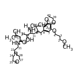 COCCCOc1cc(C[C@@H](C[C@H](N)[C@@H](O)C[C@H](C(=O)NCCN2CCOCC2)C(C)C)C(C)C)cc2c1OCCO2